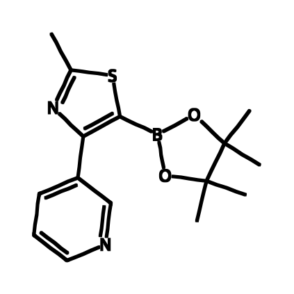 Cc1nc(-c2cccnc2)c(B2OC(C)(C)C(C)(C)O2)s1